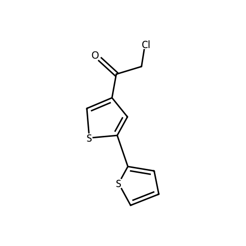 O=C(CCl)c1csc(-c2cccs2)c1